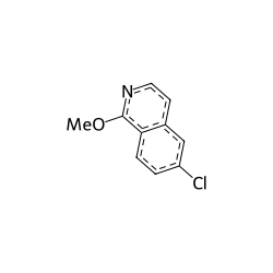 COc1nccc2cc(Cl)ccc12